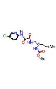 CSCC[C@H](CNC(=O)C(=O)Nc1ccc(Cl)cn1)NC(=O)OC(C)(C)C